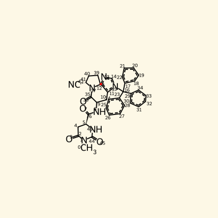 CN1C(=O)C[C@@H](C(=O)NC(Cc2cncn2C(c2ccccc2)(c2ccccc2)c2ccccc2)C(=O)N2CCC[C@H]2C#N)NC1=O